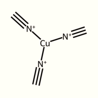 C#[N+][Cu]([N+]#C)[N+]#C